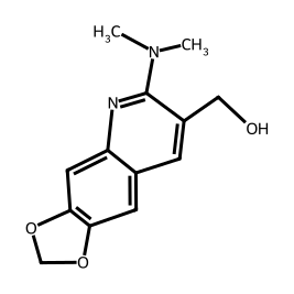 CN(C)c1nc2cc3c(cc2cc1CO)OCO3